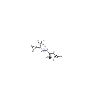 COCC(N)/C=C/C(C1CC1)C(C)(C)C